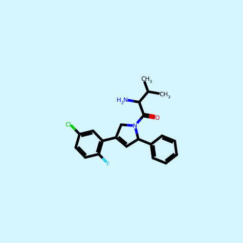 CC(C)C(N)C(=O)N1CC(c2cc(Cl)ccc2F)=CC1c1ccccc1